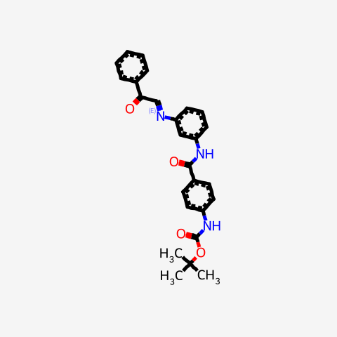 CC(C)(C)OC(=O)Nc1ccc(C(=O)Nc2cccc(/N=C/C(=O)c3ccccc3)c2)cc1